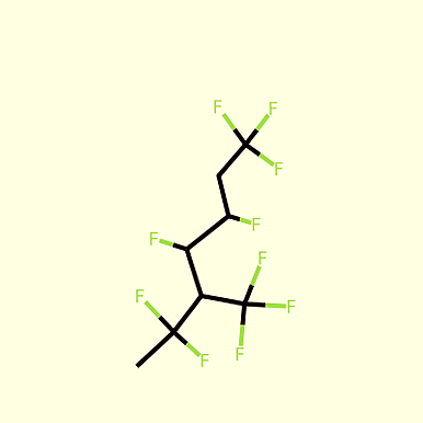 CC(F)(F)C(C(F)C(F)CC(F)(F)F)C(F)(F)F